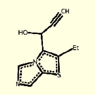 C#CC(O)c1c(CC)sc2cncn12